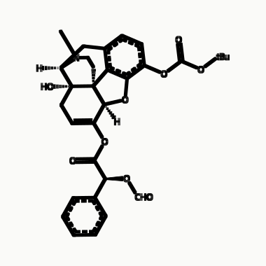 CN1CC[C@]23c4c5ccc(OC(=O)OC(C)(C)C)c4O[C@H]2C(OC(=O)[C@@H](OC=O)c2ccccc2)=CC[C@@]3(O)[C@H]1C5